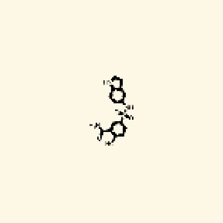 NC(=O)c1cc(S(=O)(=O)Nc2ccc3[nH]ccc3c2)ccc1O